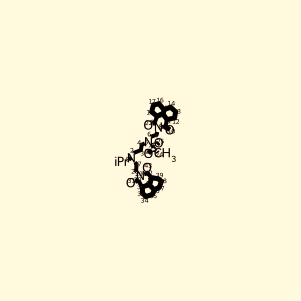 CC(C)N(CCCN(CCN1C(=O)c2cccc3cccc(c23)C1=O)S(C)(=O)=O)CCN1C(=O)c2cccc3cccc(c23)C1=O